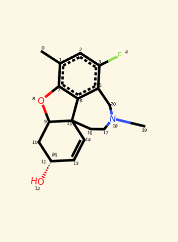 Cc1cc(F)c2c3c1OC1C[C@@H](O)C=CC31CCN(C)C2